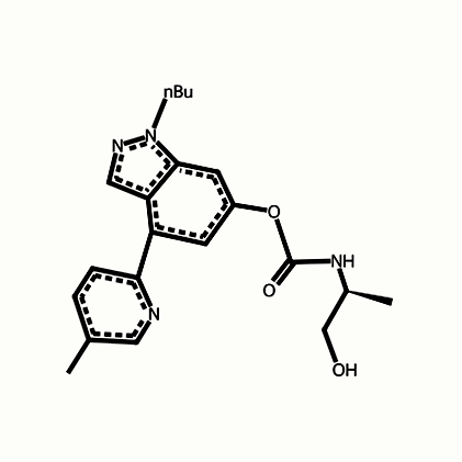 CCCCn1ncc2c(-c3ccc(C)cn3)cc(OC(=O)N[C@@H](C)CO)cc21